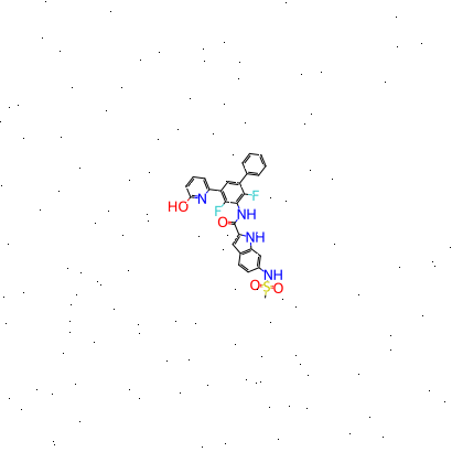 CS(=O)(=O)Nc1ccc2cc(C(=O)Nc3c(F)c(-c4ccccc4)cc(-c4cccc(O)n4)c3F)[nH]c2c1